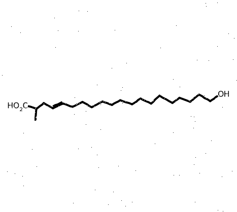 CC(CC=CCCCCCCCCCCCCCCCO)C(=O)O